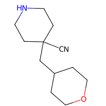 N#CC1(CC2CCOCC2)CCNCC1